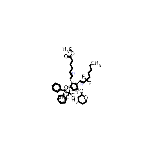 CCCCCC(F)(F)/C=C/[C@@H]1[C@@H](C/C=C/CCCC(=O)OC)[C@@H](O[Si](c2ccccc2)(c2ccccc2)C(C)(C)C)C[C@H]1OC1CCCCO1